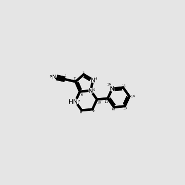 N#Cc1cnn2c1NCCC2c1ccccn1